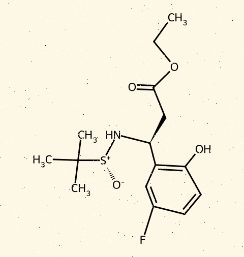 CCOC(=O)C[C@H](N[S@+]([O-])C(C)(C)C)c1cc(F)ccc1O